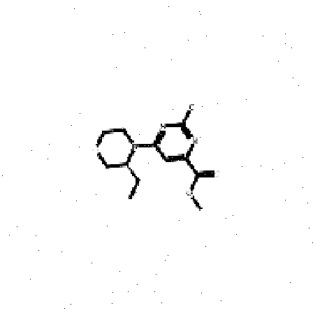 CC[C@H]1COCCN1c1cc(C(=O)OC)nc(Cl)n1